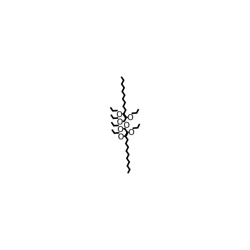 CCCCCCCCCCC(OCCC)=C(OCCC)C(OCCC)OC(OCCC)C(OCCC)=C(CCCCCCCCCC)OCCC